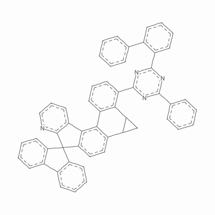 c1ccc(-c2nc(-c3ccccc3-c3ccccc3)nc(-c3cccc4c3C3CC3c3ccc5c(c3-4)-c3cccnc3C53c4ccccc4-c4ccccc43)n2)cc1